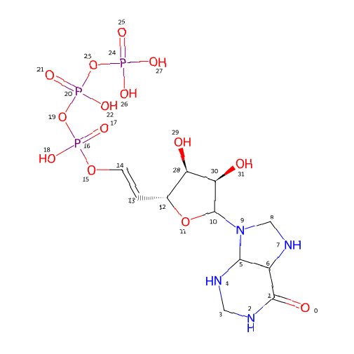 O=C1NCNC2C1NCN2C1O[C@H](/C=C/OP(=O)(O)OP(=O)(O)OP(=O)(O)O)[C@@H](O)[C@H]1O